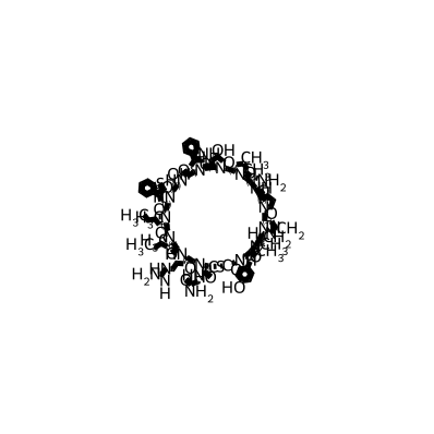 C=C(N)C[C@@H]1NC(=C)[C@H](C)N(C)C(=O)[C@H](Cc2ccc(O)cc2)NC(=O)CSC[C@@H](C(=O)NCC(N)=O)NC(=O)[C@H](CCCNC(=N)N)NC(=O)[C@H](CCCC)N(C)C(=O)[C@H](CCCC)N(C)C(=O)[C@H](Cc2csc3ccccc23)NC(=O)[C@H](CO)NC(=O)[C@H](Cc2c[nH]c3ccccc23)NC(=O)[C@@H]2C[C@@H](O)CN2C(=O)[C@H](CC(C)C)NC(=O)[C@H](CN)NC(=O)[C@@H]2CCCN2C1=O